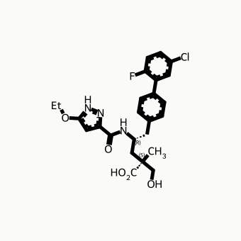 CCOc1cc(C(=O)N[C@H](Cc2ccc(-c3cc(Cl)ccc3F)cc2)C[C@@](C)(CO)C(=O)O)n[nH]1